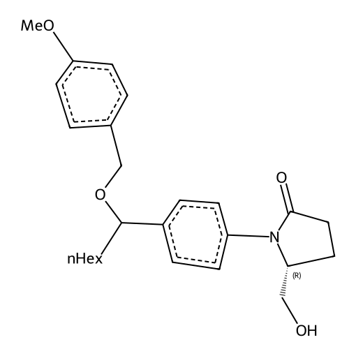 CCCCCCC(OCc1ccc(OC)cc1)c1ccc(N2C(=O)CC[C@@H]2CO)cc1